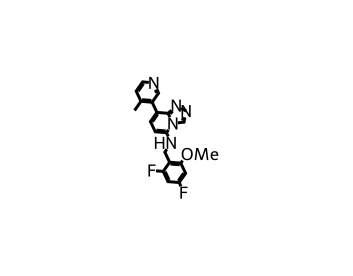 COc1cc(F)cc(F)c1CNc1ccc(-c2cnccc2C)c2nncn12